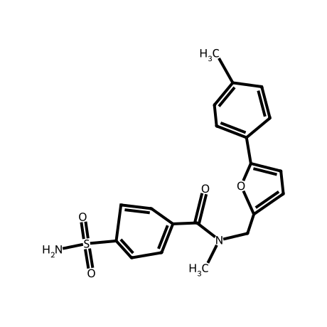 Cc1ccc(-c2ccc(CN(C)C(=O)c3ccc(S(N)(=O)=O)cc3)o2)cc1